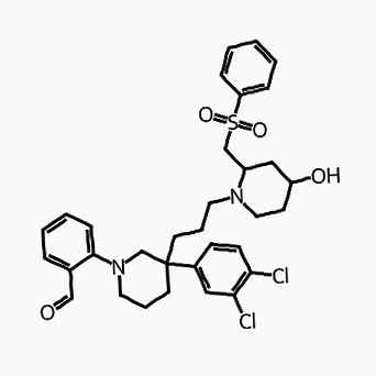 O=Cc1ccccc1N1CCCC(CCCN2CCC(O)CC2CS(=O)(=O)c2ccccc2)(c2ccc(Cl)c(Cl)c2)C1